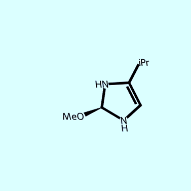 CO[C@@H]1NC=C(C(C)C)N1